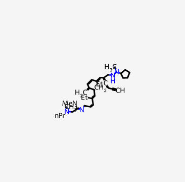 C#CC=C=C(/C=C(/C=C\C(=C)C(=C)/C=C(/C=C\C/N=C(/CN(C)CCC)NC)CC)CC)CNN(C)C1CCCC1